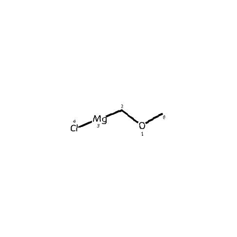 CO[CH2][Mg][Cl]